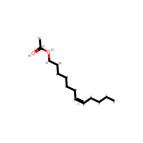 CCCC/C=C\CCCCCCOC(C)=O